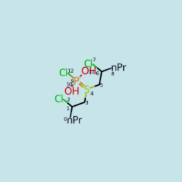 CCCC(Cl)CS(CC(Cl)CCC)=P(O)(O)Cl